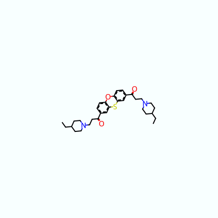 CCC1CCN(CCC(=O)c2ccc3c(c2)Sc2cc(C(=O)CCN4CCC(CC)CC4)ccc2O3)CC1